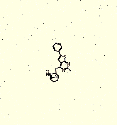 Cc1nc(CN2C(=O)C3CCC2CN3)c2cc(-c3ccccc3)sc2n1